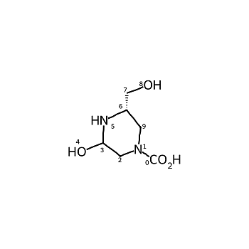 O=C(O)N1CC(O)N[C@H](CO)C1